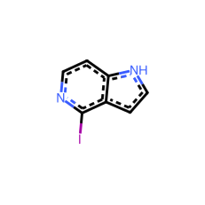 Ic1nccc2[nH]ccc12